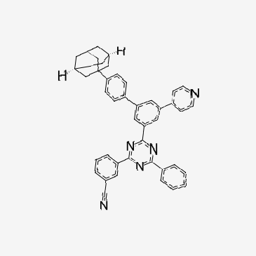 N#Cc1cccc(-c2nc(-c3ccccc3)nc(-c3cc(-c4ccncc4)cc(-c4ccc(C56CC7C[C@H](C5)C[C@@H](C7)C6)cc4)c3)n2)c1